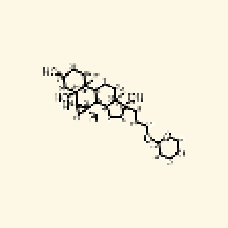 C[C@]12CCC3C(C1CC[C@@]2(O)CCCOC1CCCCO1)[C@H]1C[C@H]1C1(O)CC(O)CC[C@]31C